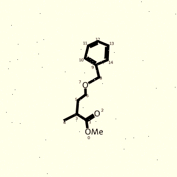 COC(=O)C(C)CCOCc1ccccc1